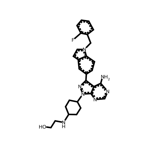 Nc1ncnc2c1c(-c1ccc3c(ccn3Cc3ccccc3F)c1)nn2C1CCC(NCCO)CC1